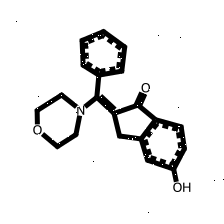 O=C1C(=C(c2ccccc2)N2CCOCC2)Cc2cc(O)ccc21